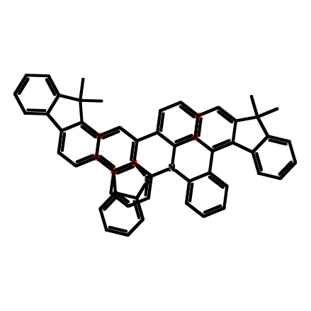 CC1(C)c2ccccc2-c2ccc(-c3cccc(N(c4ccccc4-c4cccc5c4-c4ccccc4C5(C)C)c4ccccc4-c4cccc5c4oc4ccccc45)c3)cc21